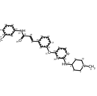 CN1CCC(Nc2nccc(Oc3cccc(C=CC(=O)Nc4cccc(C(F)(F)F)c4)c3)n2)CC1